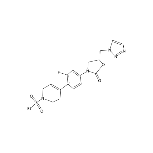 CCS(=O)(=O)N1CC=C(c2ccc(N3C[C@H](Cn4ccnn4)OC3=O)cc2F)CC1